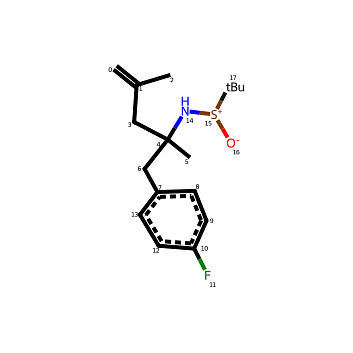 C=C(C)CC(C)(Cc1ccc(F)cc1)N[S+]([O-])C(C)(C)C